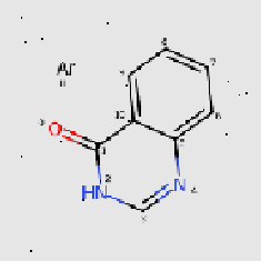 O=c1[nH]cnc2ccccc12.[Ar]